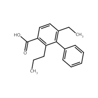 CCCc1c(C(=O)O)ccc(CC)c1-c1ccccc1